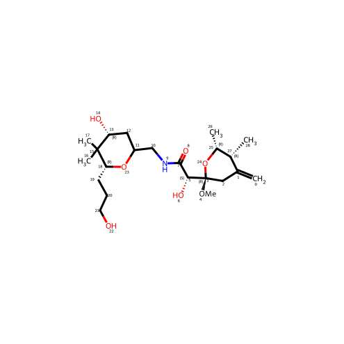 C=C1C[C@](OC)([C@H](O)C(=O)NCC2C[C@@H](O)C(C)(C)[C@@H](CCCO)O2)O[C@H](C)[C@@H]1C